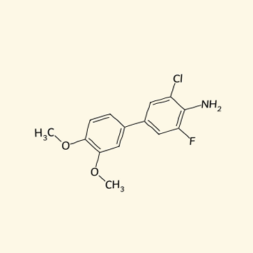 COc1ccc(-c2cc(F)c(N)c(Cl)c2)cc1OC